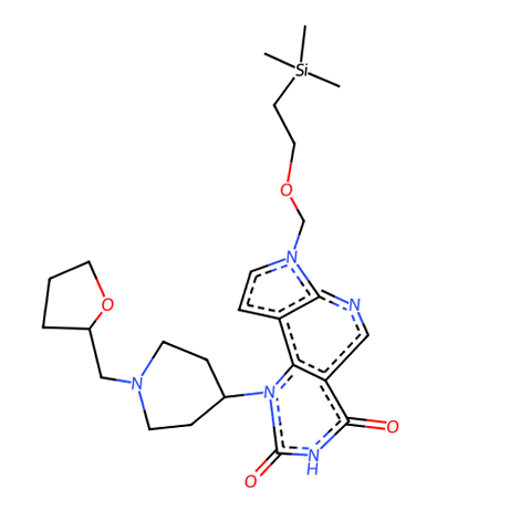 C[Si](C)(C)CCOCn1ccc2c1ncc1c(=O)[nH]c(=O)n(C3CCN(CC4CCCO4)CC3)c12